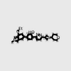 CCOc1cc(-c2ccc(-c3ccc(C4CN(C5CCOCC5)C4)nn3)c(O)c2)cc2cn(C)nc12